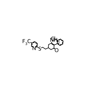 NC1=C(c2ccccc2Cl)C(=O)CC(CCSc2ccc(C(F)(F)F)cn2)C1